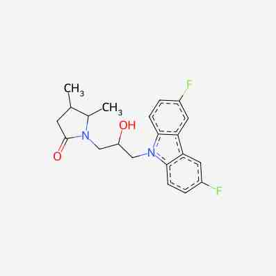 CC1CC(=O)N(CC(O)Cn2c3ccc(F)cc3c3cc(F)ccc32)C1C